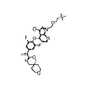 C[Si](C)(C)CCOCn1cc(Cl)c2c(Oc3c(F)cc(NC4=NCC5(CCOCC5)CO4)cc3F)ccnc21